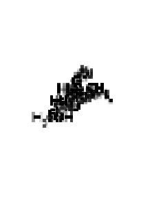 COC(=O)CC[C@@H]1NC(=O)c2cc(Oc3cccc(N(C)C)c3)c(NC(=O)COCc3ccccc3)cc2NC1=O